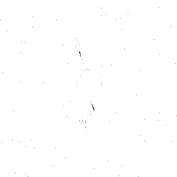 CNC[C@H]1CC[C@@H](C#N)CC1